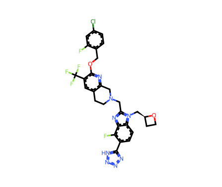 Fc1cc(Cl)ccc1COc1nc2c(cc1C(F)(F)F)CCN(Cc1nc3c(F)c(-c4nnn[nH]4)ccc3n1C[C@@H]1CCO1)C2